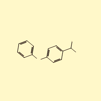 CC(Br)c1ccc(Oc2ccccc2)cc1